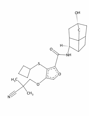 CC(C)(C#N)COc1coc(C(=O)N[C@H]2C3CC4CC2C[C@](O)(C4)C3)c1SC1CCC1